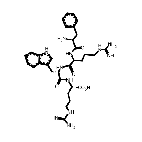 N=C(N)NCCC[C@H](NC(=O)[C@H](Cc1c[nH]c2ccccc12)NC(=O)[C@H](CCCNC(=N)N)NC(=O)[C@@H](N)Cc1ccccc1)C(=O)O